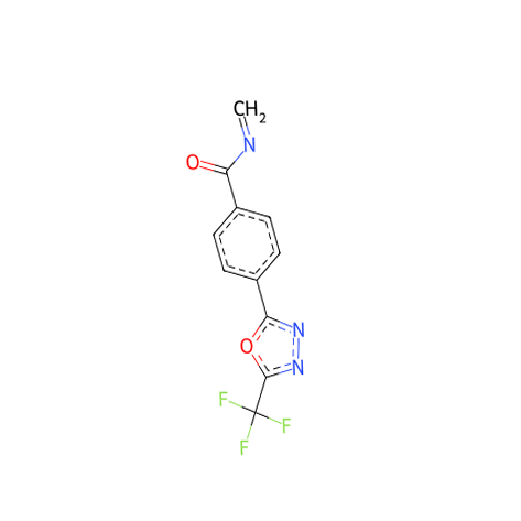 C=NC(=O)c1ccc(-c2nnc(C(F)(F)F)o2)cc1